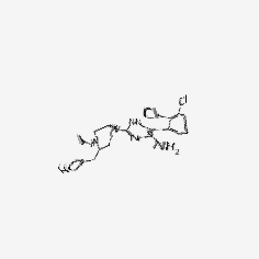 Nc1nc(N2CCN[C@H](CO)C2)nnc1-c1cccc(Cl)c1Cl